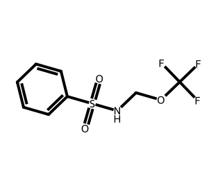 O=S(=O)(NCOC(F)(F)F)c1ccccc1